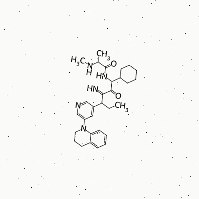 CCC(C(=N)C(=O)C(NC(=O)C(C)NC)C1CCCCC1)c1cncc(N2CCCc3ccccc32)c1